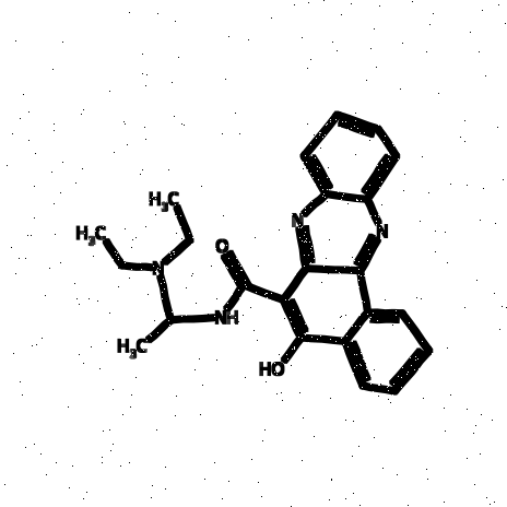 CCN(CC)C(C)NC(=O)c1c(O)c2ccccc2c2nc3ccccc3nc12